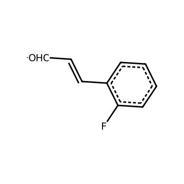 O=[C]C=Cc1ccccc1F